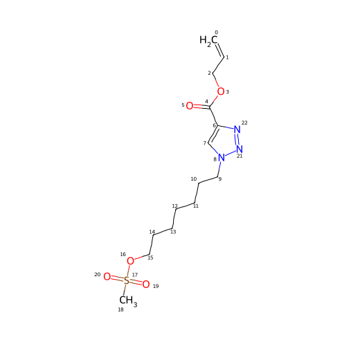 C=CCOC(=O)c1cn(CCCCCCCOS(C)(=O)=O)nn1